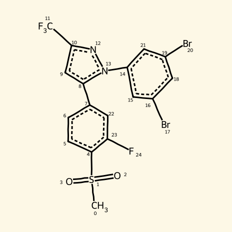 CS(=O)(=O)c1ccc(-c2cc(C(F)(F)F)nn2-c2cc(Br)cc(Br)c2)cc1F